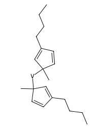 CCCCC1=C[C](C)([V][C]2(C)C=CC(CCCC)=C2)C=C1